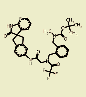 CN(Cc1ccccc1CN(CC(=O)Nc1ccc2c(c1)CC1(C2)C(=O)Nc2ncccc21)C(=O)C(F)(F)F)C(=O)OC(C)(C)C